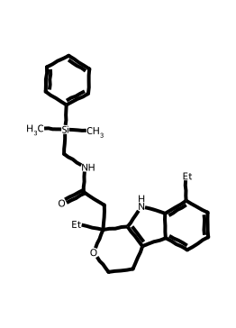 CCc1cccc2c3c([nH]c12)C(CC)(CC(=O)NC[Si](C)(C)c1ccccc1)OCC3